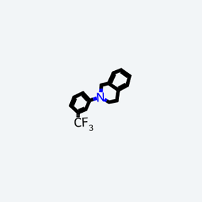 FC(F)(F)c1cccc(N2CCc3ccccc3C2)c1